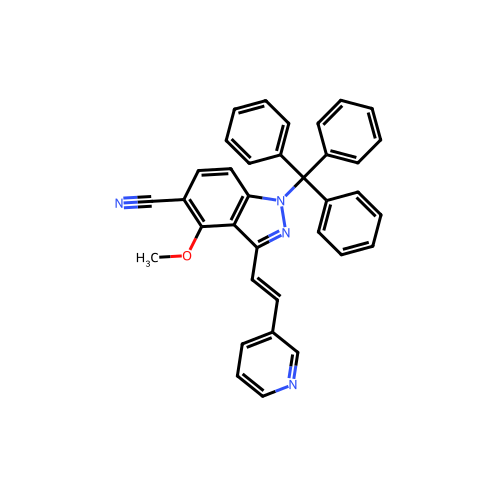 COc1c(C#N)ccc2c1c(/C=C/c1cccnc1)nn2C(c1ccccc1)(c1ccccc1)c1ccccc1